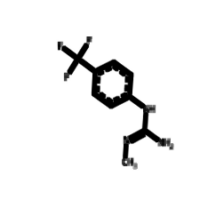 CN=C(N)Nc1ccc(C(F)(F)F)cc1